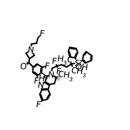 C[C@@H]1Cc2c([nH]c3cc(F)ccc23)[C@@H](c2c(F)cc(C(=O)C3CN(CCCF)C3)cc2F)N1CC(F)(F)CCC(C)(C)[Si](O)(c1ccccc1)c1ccccc1